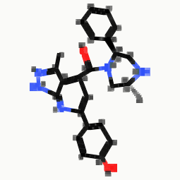 Cc1n[nH]c2nc(-c3ccc(O)cc3)cc(C(=O)N3C[C@@H](C)NC[C@@H]3c3ccccc3)c12